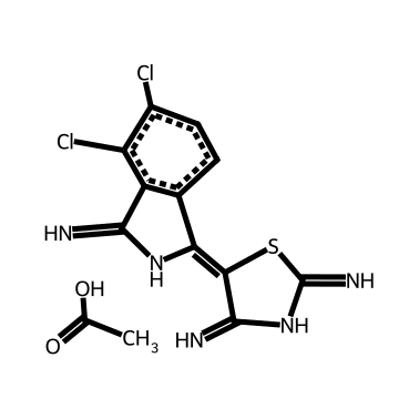 CC(=O)O.N=C1NC(=N)/C(=C2\NC(=N)c3c2ccc(Cl)c3Cl)S1